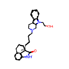 O=C1Nc2cccc3c2[C@@]1(CCCCN1CCc2c(n(CCO)c4ccccc24)C1)CCC3